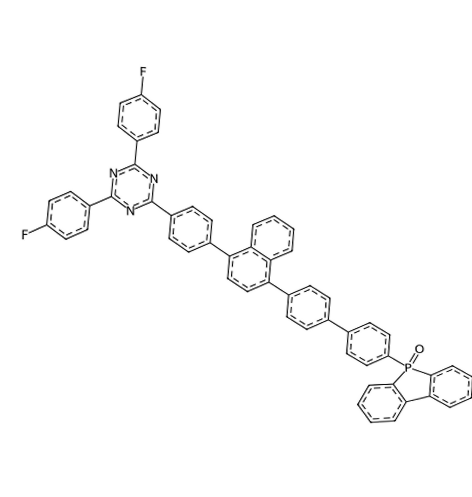 O=P1(c2ccc(-c3ccc(-c4ccc(-c5ccc(-c6nc(-c7ccc(F)cc7)nc(-c7ccc(F)cc7)n6)cc5)c5ccccc45)cc3)cc2)c2ccccc2-c2ccccc21